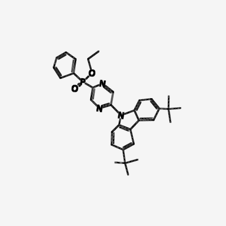 CCOP(=O)(c1ccccc1)c1cnc(-n2c3ccc(C(C)(C)C)cc3c3cc(C(C)(C)C)ccc32)cn1